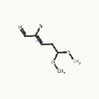 COC(C/C=C(\Br)C=O)OC